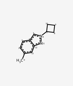 Cc1ccc2cn(C3CCC3)nc2c1